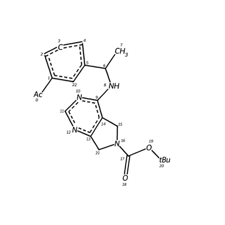 CC(=O)c1cccc(C(C)Nc2ncnc3c2CN(C(=O)OC(C)(C)C)C3)c1